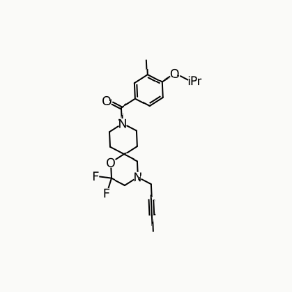 CC#CCN1CC(F)(F)OC2(CCN(C(=O)c3ccc(OC(C)C)c(C)c3)CC2)C1